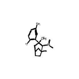 CN(C)C1C2(C)CCC(C2)CC1(O)c1cc(O)ccc1Cl